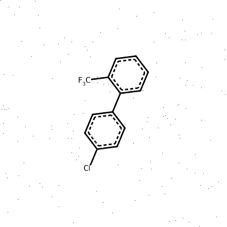 FC(F)(F)c1ccc[c]c1-c1ccc(Cl)cc1